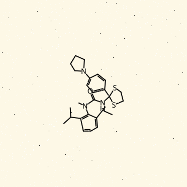 CC(C)c1cccc(C(C)C)c1N(C)C(=O)NC1(c2ccc(N3CCCC3)cc2)SCCS1